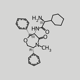 CN1C(=O)[C@@H](NC(=O)[C@@H](N)C2CCCCC2)[C@@H](c2ccccc2)OC[C@H]1c1ccccc1